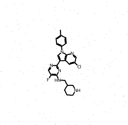 Cc1ccc(-n2cc(-c3ncc(F)c(NCC4CCCNC4)n3)c3cc(Cl)cnc32)cc1